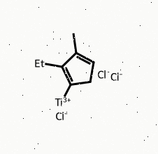 CCC1=[C]([Ti+3])CC=C1C.[Cl-].[Cl-].[Cl-]